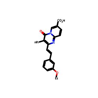 CCCc1c(/C=C/c2cccc(OCC)c2)nc2ccc(C(=O)O)cn2c1=O